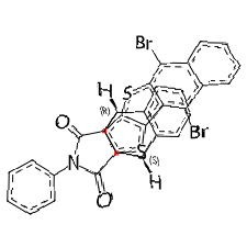 O=C1C2C(C(=O)N1c1ccccc1)[C@H]1c3ccccc3[C@@H]2c2c1sc1c2sc2c(Br)c3ccccc3c(Br)c21